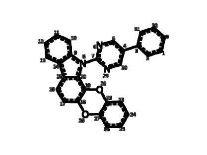 c1ccc(-c2cnc(-n3c4ccccc4c4ccc5c(c43)Oc3ccccc3O5)nc2)cc1